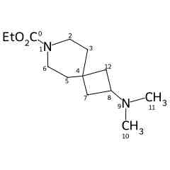 CCOC(=O)N1CCC2(CC1)CC(N(C)C)C2